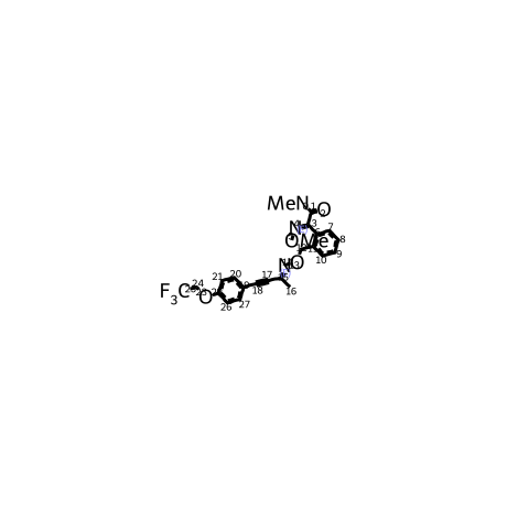 CNC(=O)/C(=N/OC)c1ccccc1CO/N=C(\C)C#Cc1ccc(OCC(F)(F)F)cc1